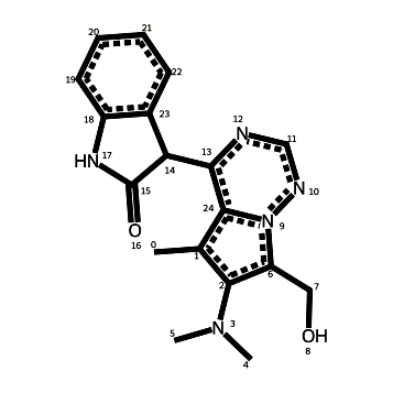 Cc1c(N(C)C)c(CO)n2ncnc(C3C(=O)Nc4ccccc43)c12